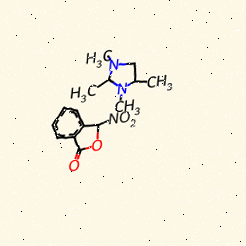 CC1CN(C)C(C)N1C.O=C1OC([N+](=O)[O-])c2ccccc21